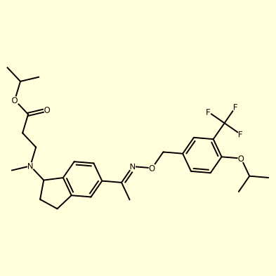 C/C(=N\OCc1ccc(OC(C)C)c(C(F)(F)F)c1)c1ccc2c(c1)CCC2N(C)CCC(=O)OC(C)C